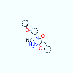 N#CCN(C(=O)C(CC1CCCCC1)C(N)=O)c1cccc(Oc2ccccc2)c1